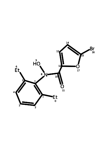 CCc1cccc(CC)c1N(O)C(=O)c1ccc(Br)o1